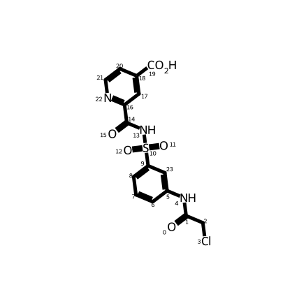 O=C(CCl)Nc1cccc(S(=O)(=O)NC(=O)c2cc(C(=O)O)ccn2)c1